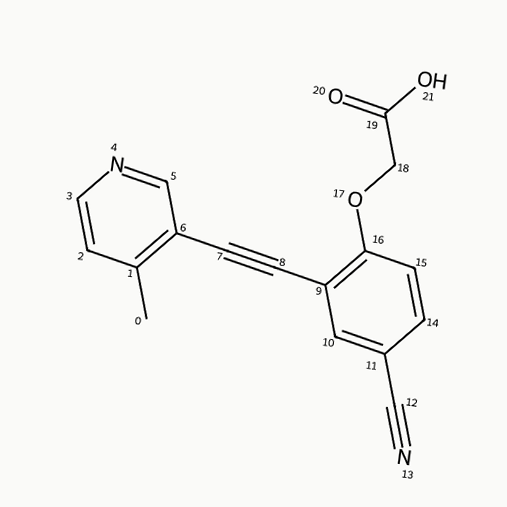 Cc1ccncc1C#Cc1cc(C#N)ccc1OCC(=O)O